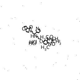 CCN1C(=O)C(C)(C)C(=O)N(C)c2cc(OCCCNC(CCn3ccc4occc4c3=O)c3cccnc3)ccc21.Cl.Cl